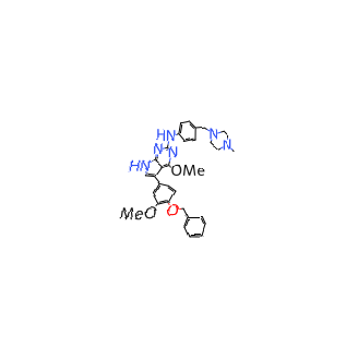 COc1cc(-c2c[nH]c3nc(Nc4ccc(CN5CCN(C)CC5)cc4)nc(OC)c23)ccc1OCc1ccccc1